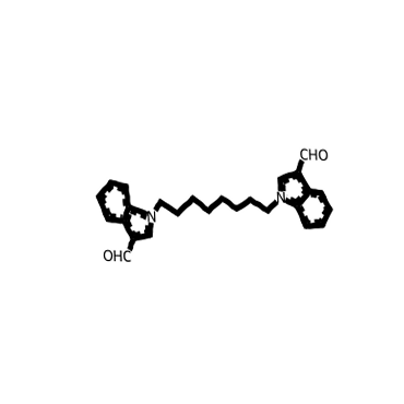 O=Cc1cn(CCCCCCCCn2cc(C=O)c3ccccc32)c2ccccc12